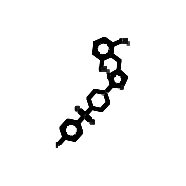 Cc1cccc(C)c1Cc1csc(N2CCC(S(=O)(=O)c3ccc(F)cc3)CC2)n1